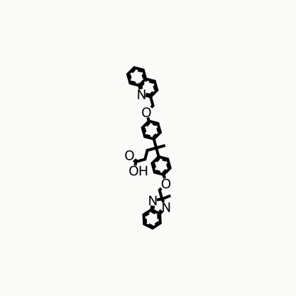 CC1(COc2ccc(C(C)(CCC(=O)O)c3ccc(OCc4ccc5ccccc5n4)cc3)cc2)N=c2ccccc2=N1